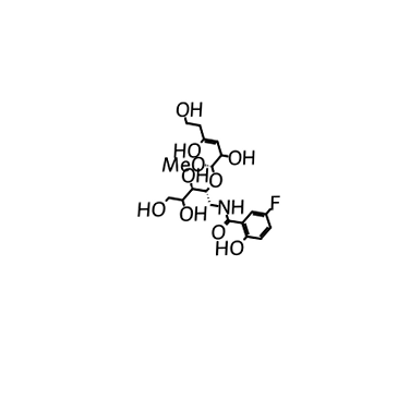 CO[C@@H](O[C@H](CNC(=O)c1cc(F)ccc1O)[C@H](O)C(O)CO)C(O)/C=C(\O)CCO